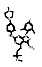 COC(C)(C)CCc1nc(Nc2ccc(N3CCN(C)CC3)cc2)nc2c1c(N)nn2-c1c(C)cc(F)cc1C